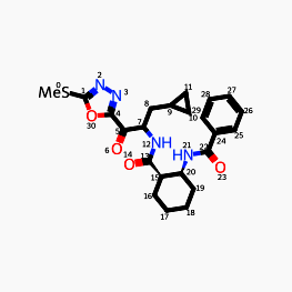 CSc1nnc(C(=O)C(CC2CC2)NC(=O)[C@@H]2CCCC[C@@H]2NC(=O)c2ccccc2)o1